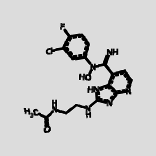 CC(=O)NCCNc1nc2nccc(C(=N)N(O)c3ccc(F)c(Cl)c3)c2[nH]1